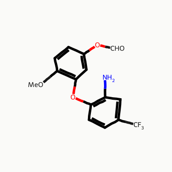 COc1ccc(OC=O)cc1Oc1ccc(C(F)(F)F)cc1N